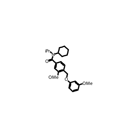 COc1cccc(OCc2ccc(C(=O)N(C(C)C)C3CCCCC3)cc2OC)c1